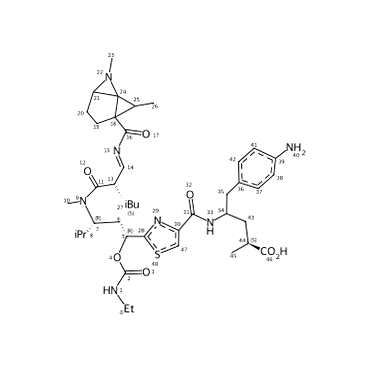 CCNC(=O)O[C@H](C[C@H](C(C)C)N(C)C(=O)C(C=NC(=O)C12CCC3N(C)C31C2C)[C@@H](C)CC)c1nc(C(=O)NC(Cc2ccc(N)cc2)C[C@H](C)C(=O)O)cs1